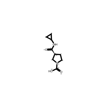 O=C(NC1CC1)[C@H]1CCN(C(=O)O)C1